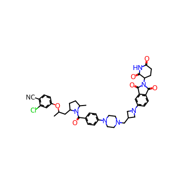 CC(CC1CCC(C)N1C(=O)c1ccc(N2CCN(CC3CN(c4ccc5c(c4)C(=O)N(C4CCC(=O)NC4=O)C5=O)C3)CC2)cc1)Oc1ccc(C#N)c(Cl)c1